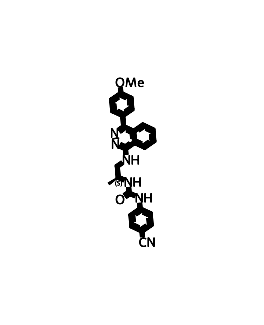 COc1ccc(-c2nnc(NC[C@H](C)NC(=O)Nc3ccc(C#N)cc3)c3ccccc23)cc1